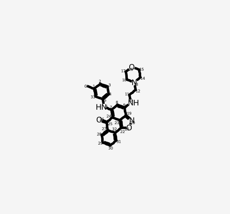 Cc1cccc(Nc2cc(NCCN3CCOCC3)c3noc4c3c2C(=O)c2ccccc2-4)c1